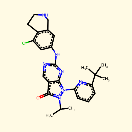 CC(C)n1c(=O)c2cnc(Nc3cc(Cl)c4c(c3)CNCC4)nc2n1-c1cccc(C(C)(C)C)n1